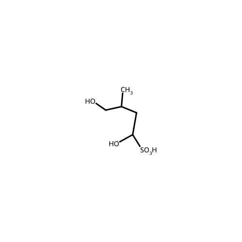 CC(CO)CC(O)S(=O)(=O)O